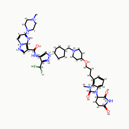 CN1CCN(c2ccn3ncc(C(=O)Nc4cn([C@H]5CC[C@H](CN6CCC(OCCCc7cccc8c7n(C)c(=O)n8C7CCC(=O)NC7=O)CC6)CC5)nc4C(F)F)c3n2)CC1